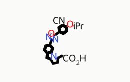 CC(C)Oc1ccc(-c2nc(-c3ccc4cc5n(c4c3)C(CC(=O)O)CC5)no2)cc1C#N